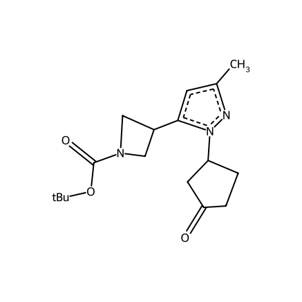 Cc1cc(C2CN(C(=O)OC(C)(C)C)C2)n(C2CCC(=O)C2)n1